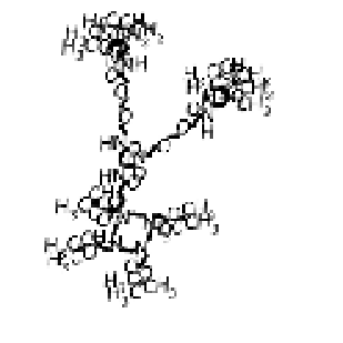 COc1cc(NC(=O)COCCOCCNC(=O)C[C@H](NC(=O)CCC(C(=O)OC(C)(C)C)N2CCN(CC(=O)OC(C)(C)C)CCN(CC(=O)OC(C)(C)C)CCN(CC(=O)OC(C)(C)C)CC2)C(=O)NCCOCCOCC(=O)Nc2cc(OC)c([Si](F)(C(C)(C)C)C(C)(C)C)cn2)ncc1[Si](F)(C(C)(C)C)C(C)(C)C